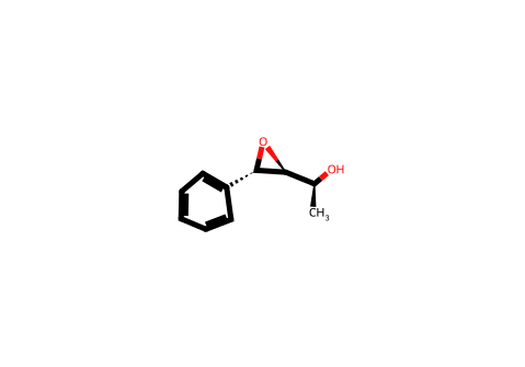 C[C@H](O)[C@@H]1O[C@H]1c1ccccc1